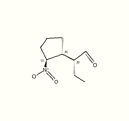 CC[C@@H](C=O)[C@H]1CCC[C@@H]1[N+](=O)[O-]